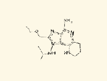 CCOCc1nc2c(N)nc3c(c2n1NC(C)C)NCCC3